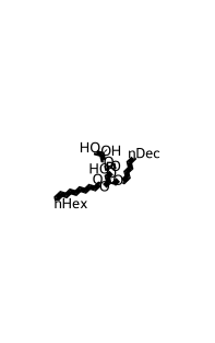 CCCCCC/C=C\CCCCCCCC(=O)O[C@H](CO/C=C\CCCCCCCCCCCCCC)COP(=O)(O)OC[C@@H](O)CO